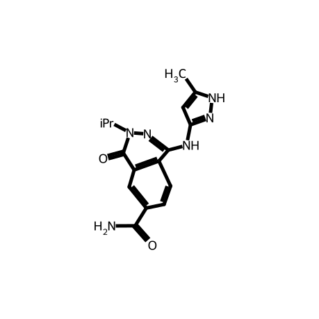 Cc1cc(Nc2nn(C(C)C)c(=O)c3cc(C(N)=O)ccc23)n[nH]1